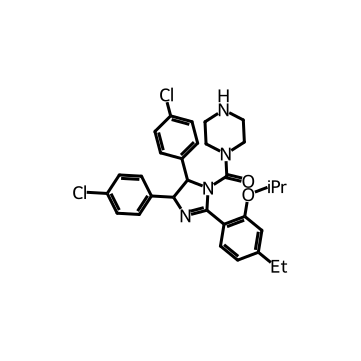 CCc1ccc(C2=NC(c3ccc(Cl)cc3)C(c3ccc(Cl)cc3)N2C(=O)N2CCNCC2)c(OC(C)C)c1